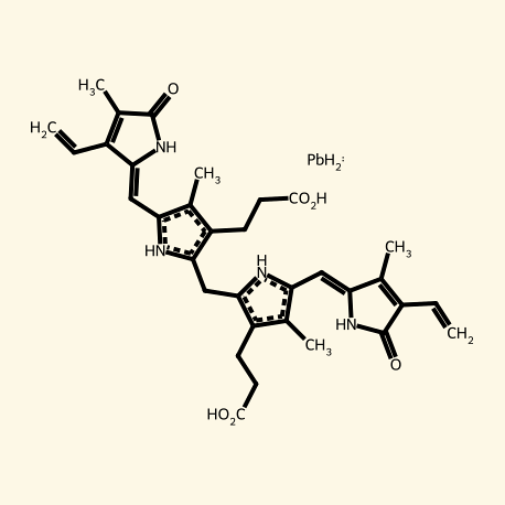 C=CC1=C(C)/C(=C/c2[nH]c(Cc3[nH]c(/C=C4\NC(=O)C(C)=C4C=C)c(C)c3CCC(=O)O)c(CCC(=O)O)c2C)NC1=O.[PbH2]